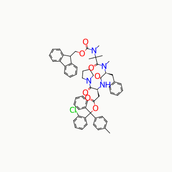 Cc1ccc(C(OC(=O)C[C@H](NC(=O)[C@H](Cc2ccccc2)N(C)C(=O)C(C)(C)N(C)C(=O)OCC2c3ccccc3-c3ccccc32)C(=O)N2CCCC2)(c2ccccc2)c2ccccc2Cl)cc1